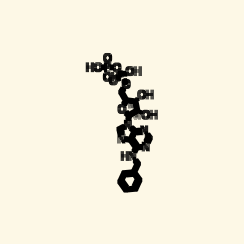 O=P(O)(O)OP(=O)(O)OCC1OC(n2cnc3c(NCc4ccccc4)ncnc32)[C@H](O)[C@@H]1O